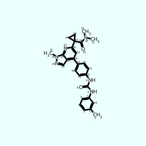 Cc1cccc(NC(=O)Nc2ccc(-c3cc(C4(C(=O)N(C)C)CC4)nc4c3cnn4C)cc2)c1